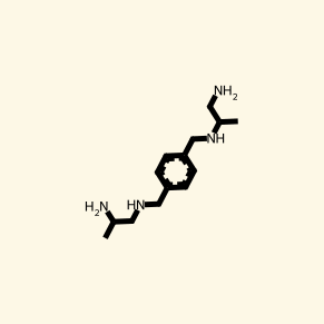 CC(N)CNCc1ccc(CNC(C)CN)cc1